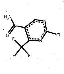 NC(=O)c1cnc(Cl)nc1C(F)(F)F